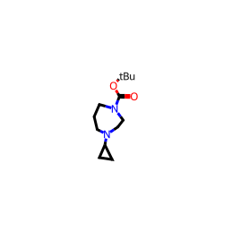 CC(C)(C)OC(=O)N1CCCN(C2CC2)CC1